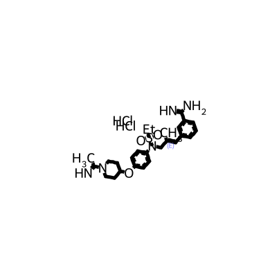 CCS(=O)(=O)N(C/C(C)=C/c1cccc(C(=N)N)c1)c1ccc(OC2CCN(C(C)=N)CC2)cc1.Cl.Cl